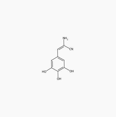 N#C/C(N)=C\c1cc(O)c(O)c(O)c1